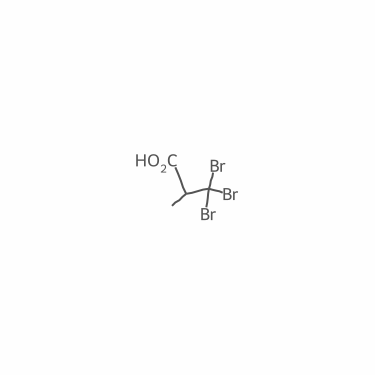 CC(C(=O)O)C(Br)(Br)Br